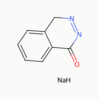 O=C1N=NCc2ccccc21.[NaH]